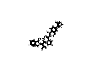 Cc1cc(-c2scnc2C)ccc1[C@H](C)NC(=O)C1CCCN1C(=O)C(C(C)C)N1Cc2ccccc2C1=O